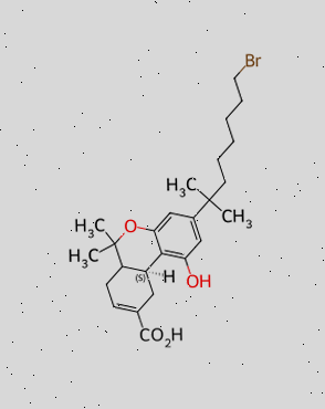 CC(C)(CCCCCCBr)c1cc(O)c2c(c1)OC(C)(C)C1CC=C(C(=O)O)C[C@H]21